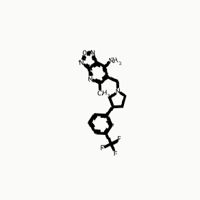 Cc1nc2nonc2c(N)c1CN1CCC(c2cccc(C(F)(F)F)c2)C1